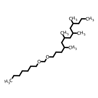 CCCCCCCOCOCCCC(C)CC(C)CC(C)CC(C)CCC